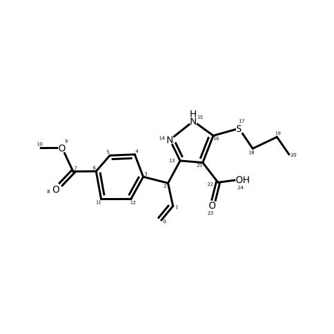 C=CC(c1ccc(C(=O)OC)cc1)c1n[nH]c(SCCC)c1C(=O)O